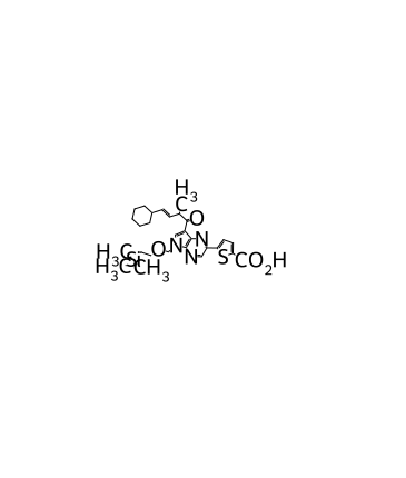 CC(C=CC1CCCCC1)C(=O)c1cn(COCC[Si](C)(C)C)c2ncc(-c3ccc(C(=O)O)s3)nc12